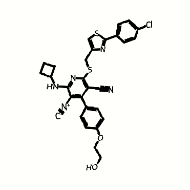 [C-]#[N+]c1c(NC2CCC2)nc(SCc2csc(-c3ccc(Cl)cc3)n2)c(C#N)c1-c1ccc(OCCO)cc1